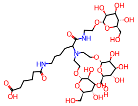 O=C(O)CCCCC(=O)NCCCCC(C(=O)NCCO[C@H]1O[C@H](CO)[C@@H](O)[C@H](O)[C@@H]1O)N(CCO[C@H]1O[C@H](CO)[C@@H](O)[C@H](O)[C@@H]1O)CCO[C@H]1O[C@H](CO)[C@@H](O)[C@H](O)[C@@H]1O